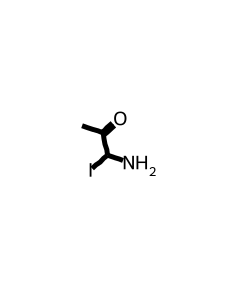 CC(=O)C(N)I